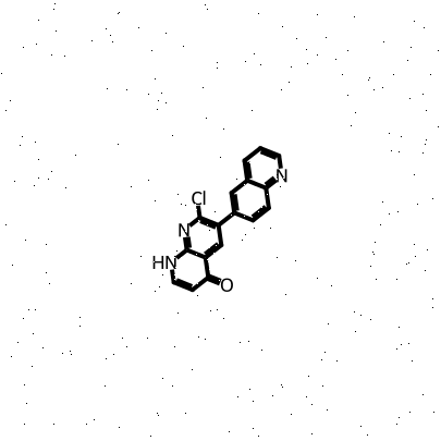 O=c1cc[nH]c2nc(Cl)c(-c3ccc4ncccc4c3)cc12